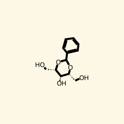 OC[C@@H]1OC(c2ccccc2)O[C@H](CO)[C@@H]1O